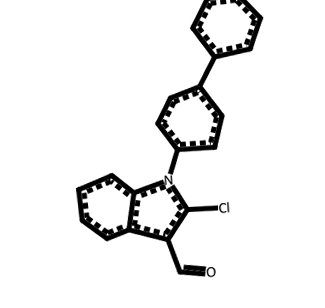 O=Cc1c(Cl)n(-c2ccc(-c3ccccc3)cc2)c2ccccc12